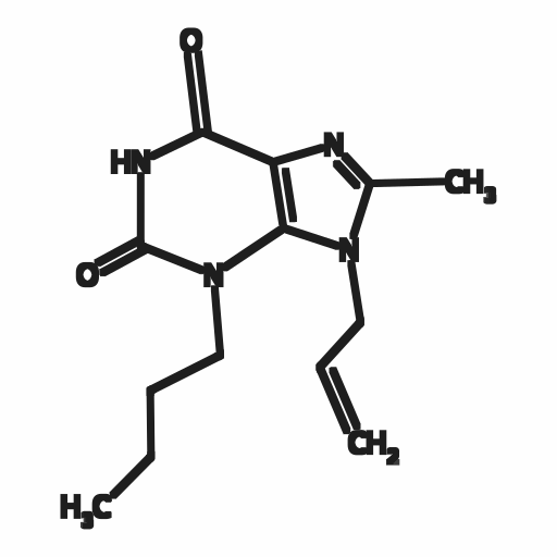 C=CCn1c(C)nc2c(=O)[nH]c(=O)n(CCCC)c21